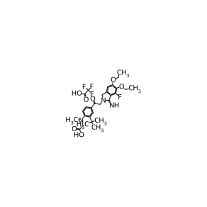 CCOc1cc2c(c(F)c1OCC)C(=N)N(CC(=O)c1ccc(N(C)CC(=O)O)c(C(C)(C)C)c1)C2.O=C(O)C(F)(F)F